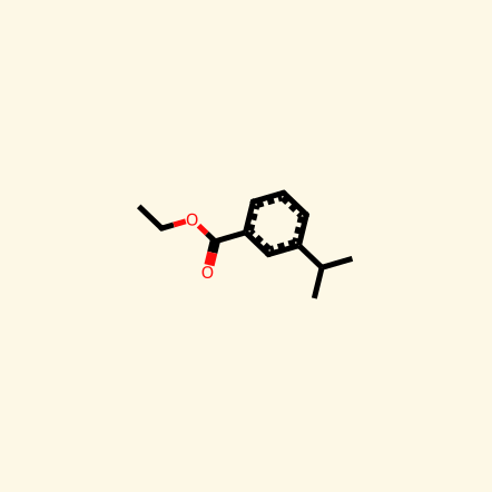 CCOC(=O)c1cccc(C(C)C)c1